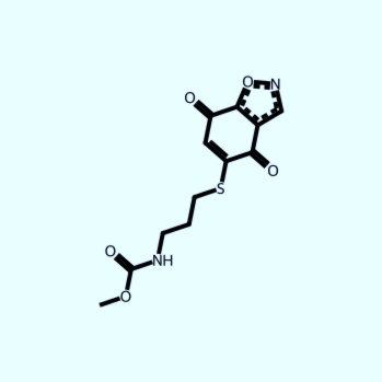 COC(=O)NCCCSC1=CC(=O)c2oncc2C1=O